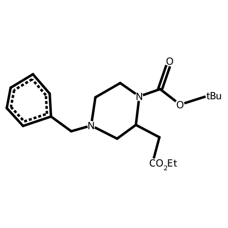 CCOC(=O)CC1CN(Cc2ccccc2)CCN1C(=O)OC(C)(C)C